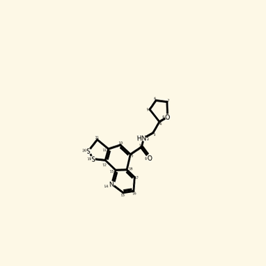 O=C(NCC1CCCO1)c1cc2c(c3ncccc13)SSC2